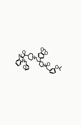 CC(C)Oc1cccc(CC(=O)N2CCC(CCN3CCC(C(=O)c4nc5ccccc5n4Cc4ccco4)CC3)(c3ccc4c(c3)OCO4)C2)c1